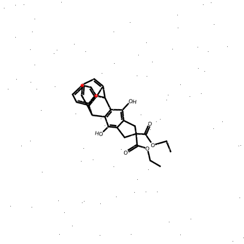 CCOC(=O)C1(C(=O)OCC)Cc2c(O)c3c(c(O)c2C1)C12c4ccccc4C3c3cccc1c32